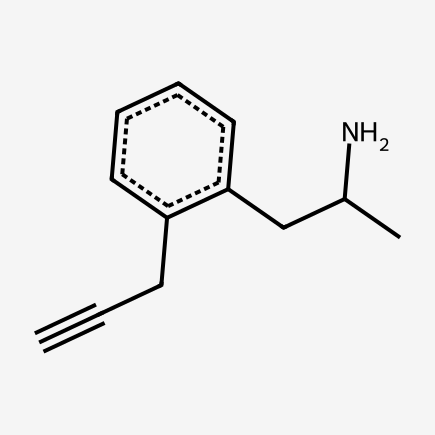 C#CCc1ccccc1CC(C)N